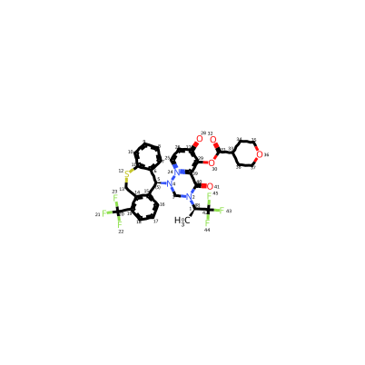 C[C@@H](N1CN([C@@H]2c3ccccc3SCc3c2cccc3C(F)(F)F)n2ccc(=O)c(OC(=O)C3CCOCC3)c2C1=O)C(F)(F)F